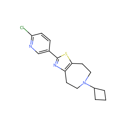 Clc1ccc(-c2nc3c(s2)CCN(C2CCC2)CC3)cn1